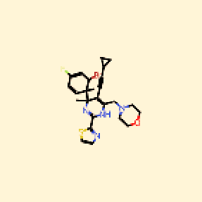 CC1([C@@]2(C)N=C(c3nccs3)NC(CN3CCOCC3)=C2C#CC2CC2)C=CC(F)=CC1Br